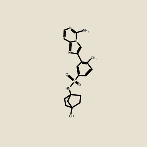 Cc1ccc(S(=O)(=O)NC23CCC(O)(CC2)C3)cc1-c1cn2c(N)ncnc2n1